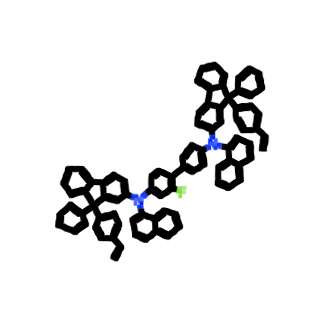 C=Cc1ccc(C2(c3ccccc3)c3ccccc3-c3ccc(N(c4ccc(-c5ccc(N(c6ccc7c(c6)C(c6ccccc6)(c6ccc(C=C)cc6)c6ccccc6-7)c6cccc7ccccc67)cc5F)cc4)c4cccc5ccccc45)cc32)cc1